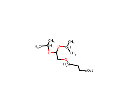 CCCCCCCCCC[SiH2]OCC(O[SiH](C)C)O[SiH](C)C